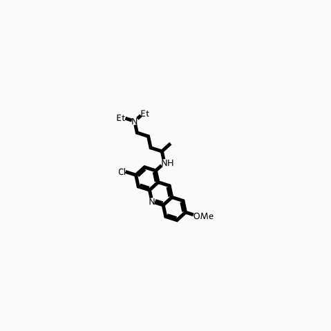 CCN(CC)CCCC(C)Nc1cc(Cl)cc2nc3ccc(OC)cc3cc12